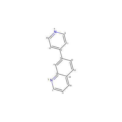 c1cnc2cc(-c3ccncc3)ccc2c1